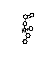 c1ccc(-c2cccc(-c3nnc(-c4ccc(-c5cccc6c5sc5ccccc56)cc4)n3-c3ccccc3)c2)cc1